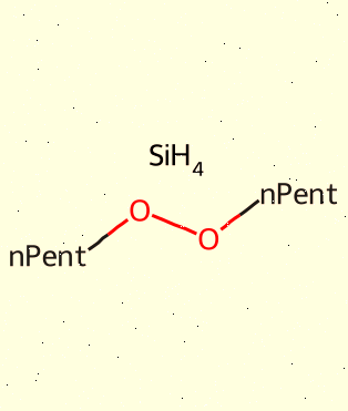 CCCCCOOCCCCC.[SiH4]